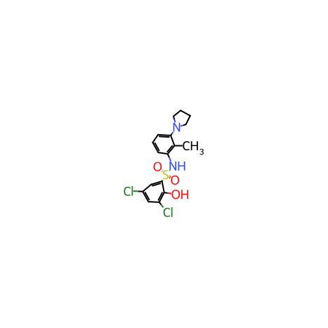 Cc1c(NS(=O)(=O)c2cc(Cl)cc(Cl)c2O)cccc1N1CCCC1